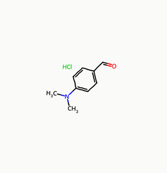 CN(C)c1ccc(C=O)cc1.Cl